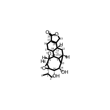 CC(C)[C@]12O[C@H]1[C@@H]1O[C@]13C1C([C@H]1C[C@H]1C4=C(CC[C@@]13C)C(=O)OC4)[C@@H](O)[C@@H]2O